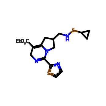 CCOC(=O)C1=C2CC(CNSC3CC3)CN2C(c2nccs2)=NC1